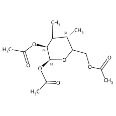 CC(=O)OCC1O[C@@H](OC(C)=O)[C@@H](OC(C)=O)C(C)[C@@H]1C